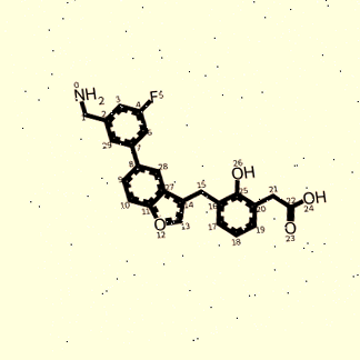 NCc1cc(F)cc(-c2ccc3occ(Cc4cccc(CC(=O)O)c4O)c3c2)c1